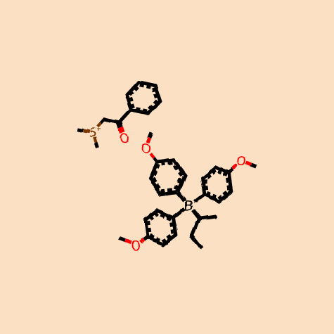 CCC(C)[B-](c1ccc(OC)cc1)(c1ccc(OC)cc1)c1ccc(OC)cc1.C[S+](C)CC(=O)c1ccccc1